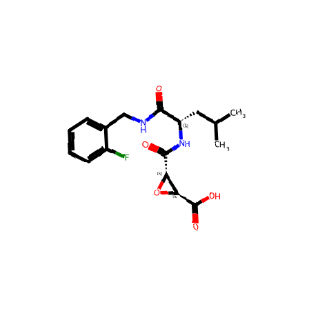 CC(C)C[C@H](NC(=O)[C@H]1O[C@@H]1C(=O)O)C(=O)NCc1ccccc1F